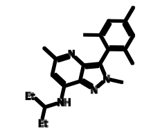 CCC(CC)Nc1cc(C)nc2c(-c3c(C)cc(C)cc3C)n(C)nc12